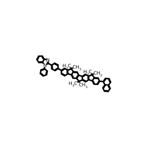 CC1(C)c2cc(-c3ccc(-c4nc5ccccc5n4-c4ccccc4)cc3)ccc2-c2cc3c(cc21)-c1cc2c(cc1C3(C)C)-c1ccc(-c3cccc4ccccc34)cc1C2(C)C